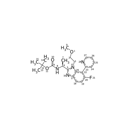 COCCn1c([C@H](C)NC(=O)OC(C)(C)C)nc2ccc(F)c(-c3ccccn3)c21